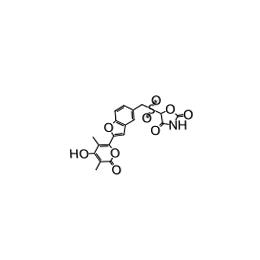 Cc1c(-c2cc3cc(CS(=O)(=O)C4OC(=O)NC4=O)ccc3o2)oc(=O)c(C)c1O